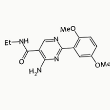 CCNC(=O)c1cnc(-c2cc(OC)ccc2OC)nc1N